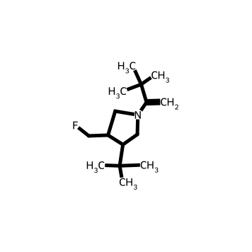 C=C(N1CC(CF)C(C(C)(C)C)C1)C(C)(C)C